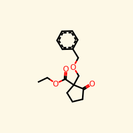 CCOC(=O)C1(COCc2ccccc2)CCCC1=O